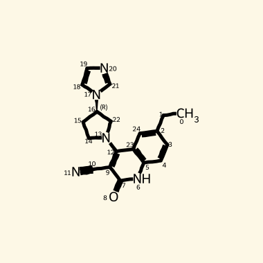 CCc1ccc2[nH]c(=O)c(C#N)c(N3CC[C@@H](n4ccnc4)C3)c2c1